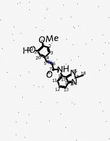 COc1ccc(/C=C/C(=O)Nc2cccc3c2=NC(C)N=3)cc1O